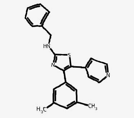 Cc1cc(C)cc(-c2nc(NCc3ccccc3)sc2-c2ccncc2)c1